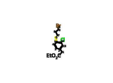 CCOC(=O)Cc1ccc(SCCCBr)c(Cl)c1